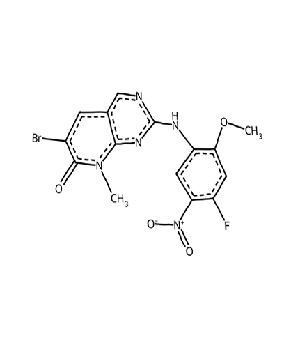 COc1cc(F)c([N+](=O)[O-])cc1Nc1ncc2cc(Br)c(=O)n(C)c2n1